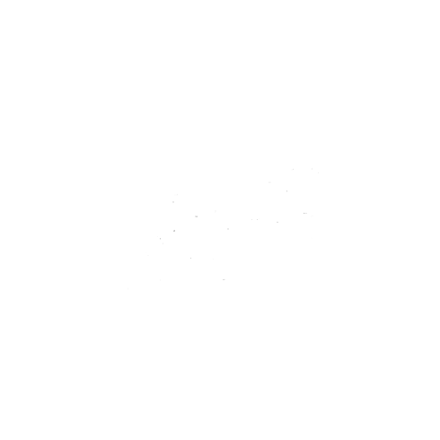 CCC(F)(F)C(=O)N[C@H]1Cc2cccc(C(=O)OC3(C)OC(C)(C)OC3=O)c2OB1O